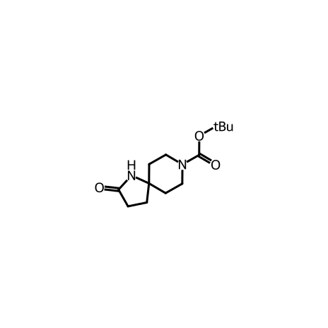 CC(C)(C)OC(=O)N1CCC2(CCC(=O)N2)CC1